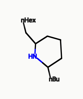 CCCCCCCC1CCCC(CCCC)N1